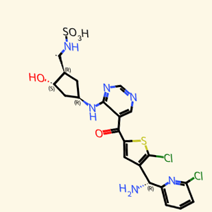 N[C@@H](c1cccc(Cl)n1)c1cc(C(=O)c2cncnc2N[C@H]2C[C@H](O)[C@@H]([CH]NS(=O)(=O)O)C2)sc1Cl